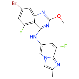 COc1nc(Nc2cc(F)c3nc(C)cn3c2)c2c(F)cc(Br)cc2n1